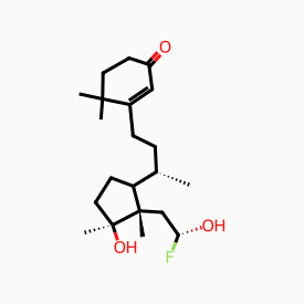 C[C@@H](CCC1=CC(=O)CCC1(C)C)C1CC[C@](C)(O)[C@@]1(C)C[C@H](O)F